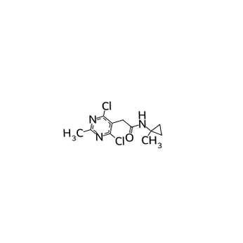 Cc1nc(Cl)c(CC(=O)NC2(C)CC2)c(Cl)n1